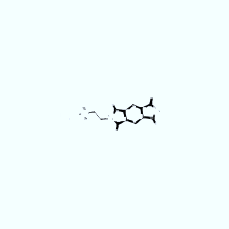 CS(=O)(=O)CCn1c(=O)c2cc3c(=O)[nH]c(=O)c3cc2c1=O